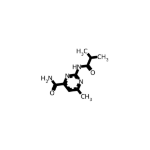 Cc1cc(C(N)=O)nc(NC(=O)C(C)C)n1